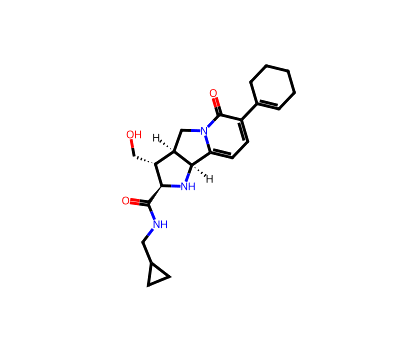 O=C(NCC1CC1)[C@@H]1N[C@@H]2c3ccc(C4=CCCCC4)c(=O)n3C[C@@H]2[C@H]1CO